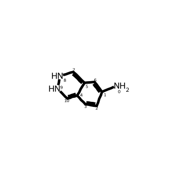 Nc1ccc2c(c1)=CNNC=2